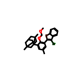 COCOc1c(-c2sc3ccccc3c2Br)cc(C)cc1C12CC3CC(C)(CC(C)(C3)C1)C2